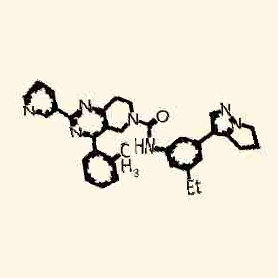 CCc1cc(NC(=O)N2CCc3nc(-c4cccnc4)nc(-c4ccccc4C)c3C2)cc(-c2cnn3c2CCC3)c1